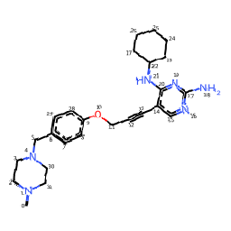 CN1CCN(Cc2ccc(OCC#Cc3cnc(N)nc3NC3CCCCC3)cc2)CC1